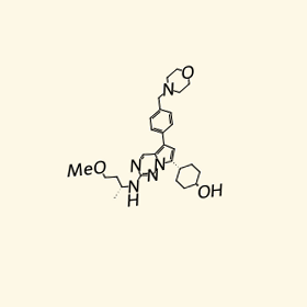 COCC[C@@H](C)Nc1ncc2c(-c3ccc(CN4CCOCC4)cc3)cc([C@H]3CC[C@H](O)CC3)n2n1